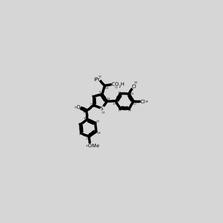 COc1ccc(C(=O)c2cc(C(C(=O)O)C(C)C)c(-c3ccc(Cl)c(Cl)c3)s2)cc1